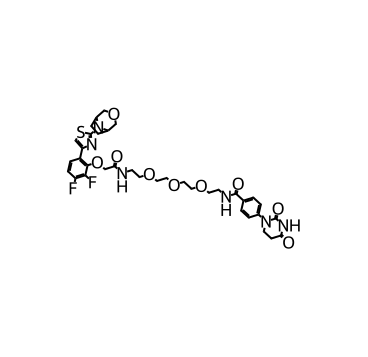 O=C(COc1c(-c2csc(N3C4CCC3COC4)n2)ccc(F)c1F)NCCOCCOCCOCCNC(=O)c1ccc(N2CCC(=O)NC2=O)cc1